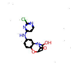 O=C1C2CC(O)N1c1cc(Nc3ccnc(Cl)n3)ccc1O2